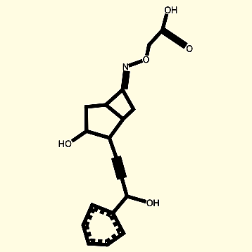 O=C(O)CON=C1CC2C1CC(O)C2C#CC(O)c1ccccc1